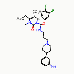 COCC1=C(C(=O)O)[C@H](c2ccc(F)c(F)c2)N(C(=O)NCCCN2CCC(c3cccc(N)c3)CC2)C(=O)N1C